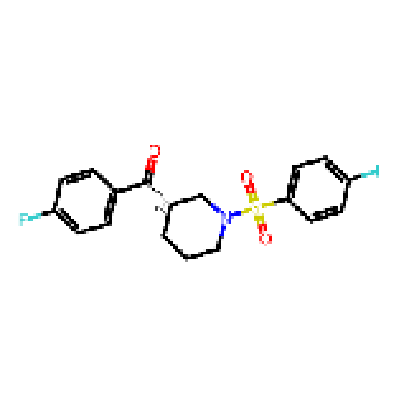 O=C(c1ccc(F)cc1)[C@H]1CCCN(S(=O)(=O)c2ccc(F)cc2)C1